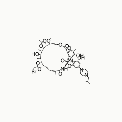 CO[C@H]1/C=C/O[C@@]2(C)Oc3c(C)c(O)c4c(=O)c(c5oc6cc(N7CCN(CC(C)C)CC7)cc(O)c6nc-5c4c3C2=O)NC(=O)/C(C)=C\C=C\[C@H](C)[C@H](OC(=O)CBr)[C@@H](C)[C@@H](O)[C@@H](C)[C@H](OC(C)=O)[C@@H]1C